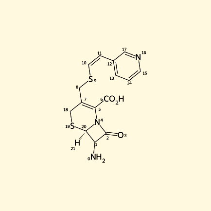 NC1C(=O)N2C(C(=O)O)=C(CS/C=C\c3cccnc3)CS[C@H]12